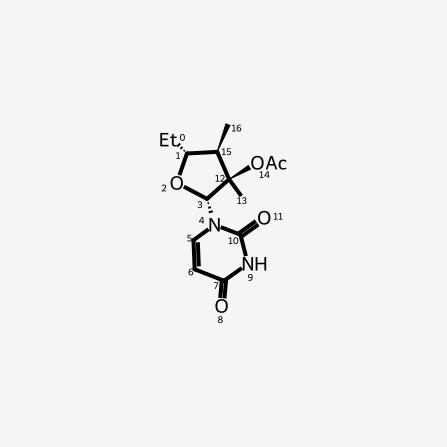 CC[C@H]1O[C@@H](n2ccc(=O)[nH]c2=O)[C@](C)(OC(C)=O)[C@@H]1C